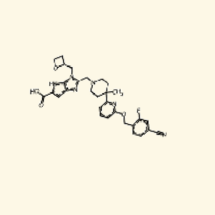 CC1(c2cccc(OCc3ccc(C#N)cc3F)n2)CCN(Cc2nc3cc(C(=O)O)[nH]c3n2C[C@@H]2CCO2)CC1